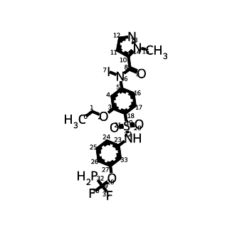 CCOc1cc(N(I)C(=O)c2ccnn2C)ccc1S(=O)(=O)Nc1cccc(OC(F)(F)P)c1